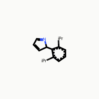 CC(C)c1cccc(C(C)C)c1C1C=CC=N1